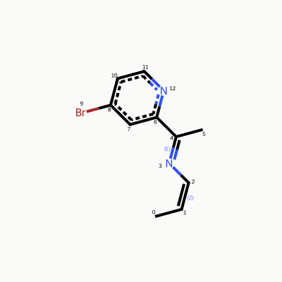 C/C=C\N=C(/C)c1cc(Br)ccn1